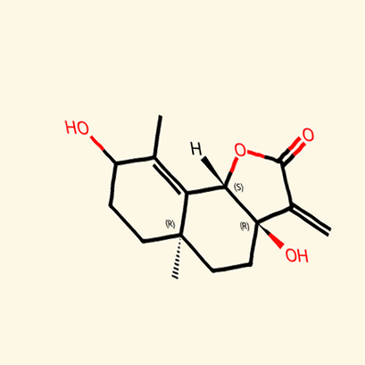 C=C1C(=O)O[C@H]2C3=C(C)C(O)CC[C@]3(C)CC[C@@]12O